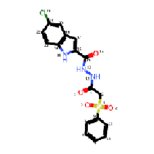 O=C(CS(=O)(=O)c1ccccc1)NNC(=O)c1cc2cc(Cl)ccc2[nH]1